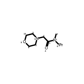 CC(C)N(C)C(=O)CN1CCOCC1